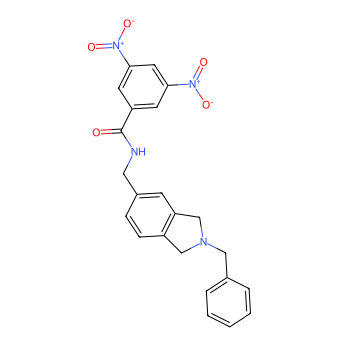 O=C(NCc1ccc2c(c1)CN(Cc1ccccc1)C2)c1cc([N+](=O)[O-])cc([N+](=O)[O-])c1